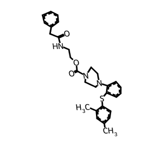 Cc1ccc(Sc2ccccc2N2CCN(C(=O)OCCNC(=O)Cc3ccccc3)CC2)c(C)c1